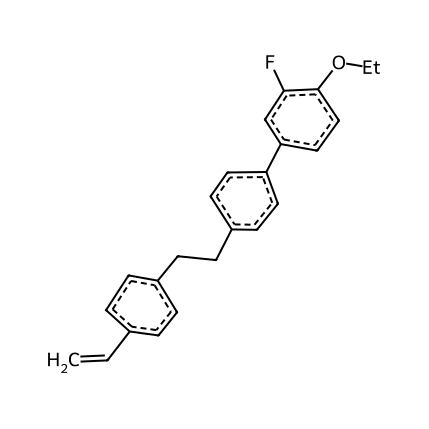 C=Cc1ccc(CCc2ccc(-c3ccc(OCC)c(F)c3)cc2)cc1